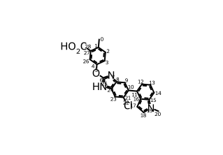 Cc1ccc(Oc2nc3cc(-c4cccc5c4ccn5C)c(Cl)cc3[nH]2)cc1C(=O)O